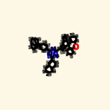 c1ccc2c(c1)Oc1ccccc1C21c2ccccc2-c2cc(-c3nc(-c4ccc(C56CC7CC(CC(C7)C5)C6)cc4)nc(-c4ccc5ccccc5c4)n3)ccc21